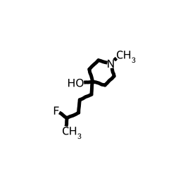 CC(F)CCCC1(O)CCN(C)CC1